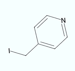 ICc1ccncc1